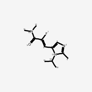 Cc1ncc(C=C(F)C(=O)N(C)C)n1C(C)C